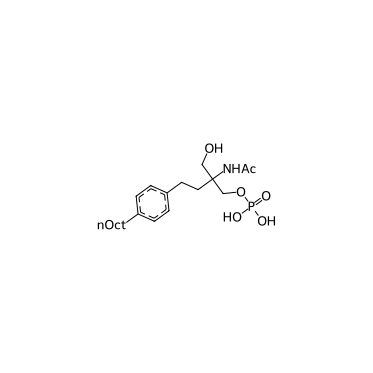 CCCCCCCCc1ccc(CCC(CO)(COP(=O)(O)O)NC(C)=O)cc1